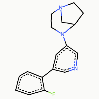 Fc1ccccc1-c1cncc(N2CCN3CCC2C3)c1